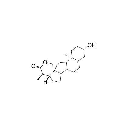 C[C@H]1C(=O)OC[C@]23CCC4C(CC=C5C[C@@H](O)CC[C@@]54C)C2CC[C@H]13